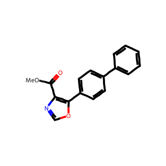 COC(=O)c1ncoc1-c1ccc(-c2ccccc2)cc1